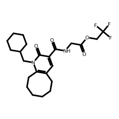 O=C(CNC(=O)c1cc2c(n(CC3CCCCC3)c1=O)CCCCCC2)OCC(F)(F)F